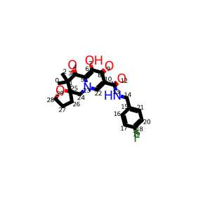 CC1(C)C(=O)c2c(O)c(=O)c(C(=O)NCc3ccc(F)cc3)cn2CC12CCCO2